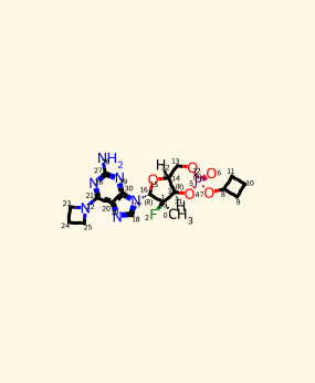 C[C@@]1(F)[C@@H]2O[P@@](=O)(OC3CCC3)OC[C@H]2O[C@H]1n1cnc2c(N3CCC3)nc(N)nc21